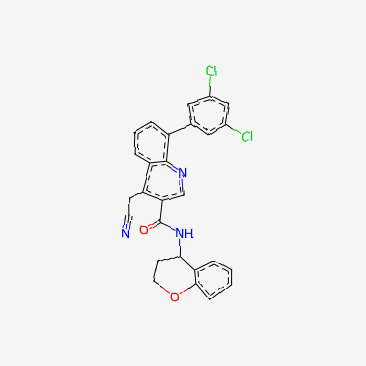 N#CCc1c(C(=O)NC2CCOc3ccccc32)cnc2c(-c3cc(Cl)cc(Cl)c3)cccc12